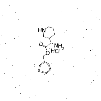 Cl.NC(C(=O)OCc1ccccc1)C1CCCNC1